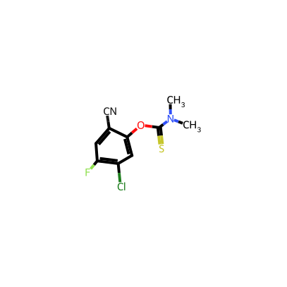 CN(C)C(=S)Oc1cc(Cl)c(F)cc1C#N